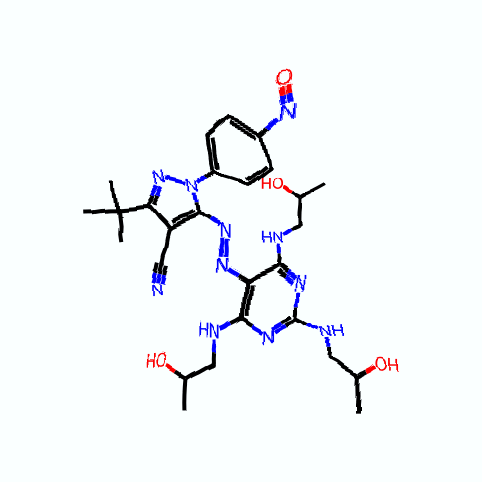 CC(O)CNc1nc(NCC(C)O)c(N=Nc2c(C#N)c(C(C)(C)C)nn2-c2ccc(N=O)cc2)c(NCC(C)O)n1